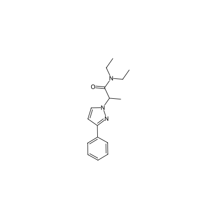 CCN(CC)C(=O)C(C)n1ccc(-c2ccccc2)n1